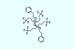 FC(F)(F)CC[CH2][Sn]([CH2]CCC(F)(F)F)([O]CCc1ccccc1)[O][Sn]([CH2]CCC(F)(F)F)([CH2]CCC(F)(F)F)[O]CCc1ccccc1